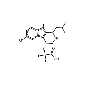 CC(C)CC1NCCc2c1[nH]c1ccc(Cl)cc21.O=C(O)C(F)(F)F